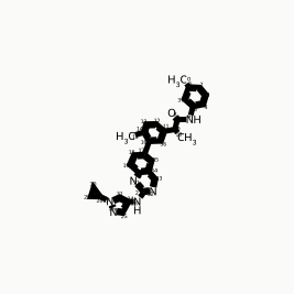 Cc1cccc(NC(=O)C(C)c2ccc(C)c(-c3ccc4nc(Nc5cnn(C6CC6)c5)ncc4c3)c2)c1